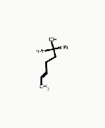 [CH2]/C=C/CCC(O)(CCC)CCC